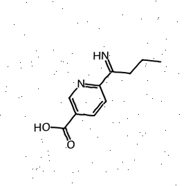 CCCC(=N)c1ccc(C(=O)O)cn1